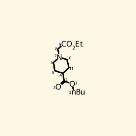 CCCCOC(=O)C1CCN(CC(=O)OCC)CC1